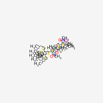 CCCCC(CC)Cc1ccc(-c2c3cc(C(C)(C)C(C)(C)C)sc3c(-c3ccc(CC(CC)CCCC)s3)c3cc(-c4sc(C(C)(C)C(C)(C)c5ccc(-c6sc(C(C)(C)C(C)(C)C)c7c6C(=O)N(C)C7=O)s5)c5c4C(=O)N(C)C5=O)sc23)s1